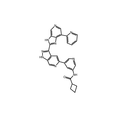 O=C(Nc1cncc(-c2cc3c(-c4nc5c(-c6ccccn6)cncc5[nH]4)n[nH]c3cn2)c1)C1CCC1